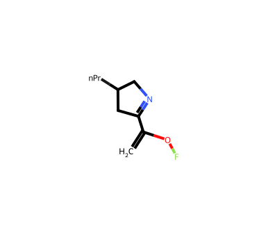 C=C(OF)C1=NCC(CCC)C1